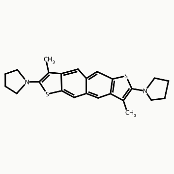 Cc1c(N2CCCC2)sc2cc3cc4c(C)c(N5CCCC5)sc4cc3cc12